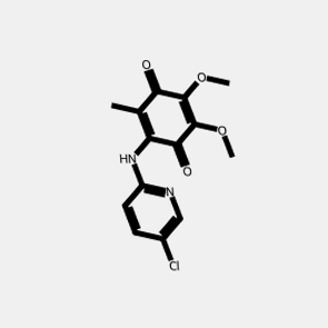 COC1=C(OC)C(=O)C(Nc2ccc(Cl)cn2)=C(C)C1=O